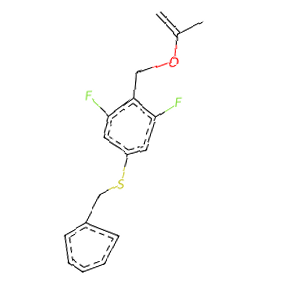 C=C(C)OCc1c(F)cc(SCc2ccccc2)cc1F